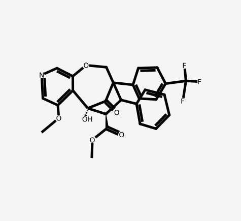 COC(=O)[C@@H]1C(c2ccccc2)C2(c3ccc(C(F)(F)F)cc3)COc3cncc(OC)c3[C@@]1(O)C2=O